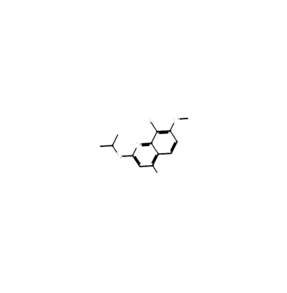 COc1ccc2c(Cl)cc(NC(C)C)nc2c1Cl